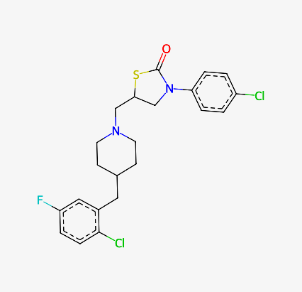 O=C1SC(CN2CCC(Cc3cc(F)ccc3Cl)CC2)CN1c1ccc(Cl)cc1